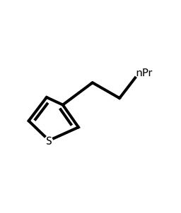 CCCCCc1ccsc1